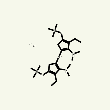 CCC1=C(O[Si](C)(C)C)C[C]([Zr+2][C]2=C([SiH](C)C)C(CC)=C(O[Si](C)(C)C)C2)=C1[SiH](C)C.[Cl-].[Cl-]